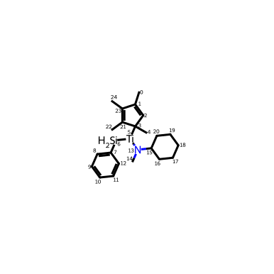 CC1=C[C](C)([Ti]([SiH2]c2ccccc2)[N](C)C2CCCCC2)C(C)=C1C